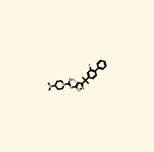 CN(C)C1CCN(/C(N)=N/c2cc(C(C)(C)c3ccc(-c4ccccc4)c(F)c3)no2)CC1